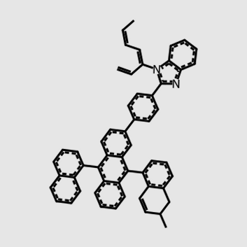 C=C/C(=C\C=C/C)n1c(-c2ccc(-c3ccc4c(-c5cccc6ccccc56)c5ccccc5c(-c5cccc6c5C=CC(C)C6)c4c3)cc2)nc2ccccc21